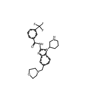 O=C(Nc1nc2cc(CN3CCOCC3)ccc2n1C1CCCNC1)c1cccc(C(F)(F)F)c1